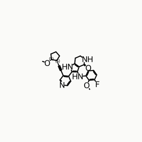 COc1c(F)cccc1Nc1c(-c2ccncc2C#C[C@@H]2CCC[C@@H]2OC)[nH]c2c1C(=O)NCC2